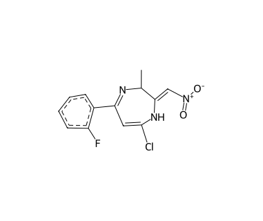 CC1N=C(c2ccccc2F)C=C(Cl)NC1=C[N+](=O)[O-]